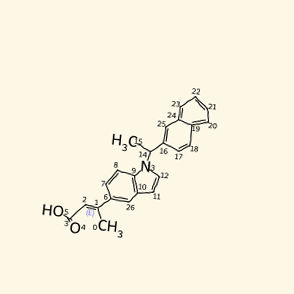 C/C(=C\C(=O)O)c1ccc2c(ccn2C(C)c2ccc3ccccc3c2)c1